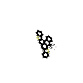 CC1(C)c2ccccc2-c2c3c1c1sc4ccccc4c1cc3cc1sc3ccccc3c21